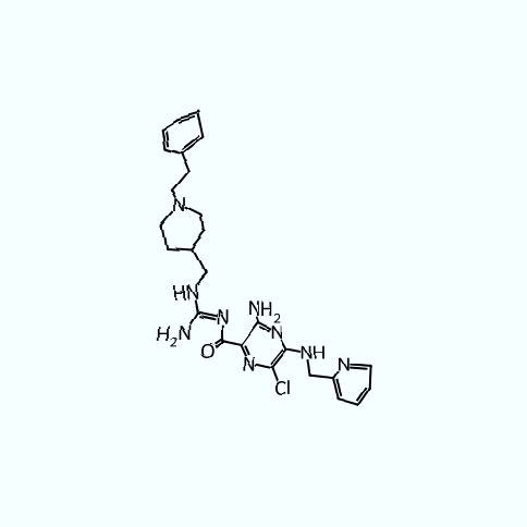 N/C(=N\C(=O)c1nc(Cl)c(NCc2ccccn2)nc1N)NCC1CCN(CCc2ccccc2)CC1